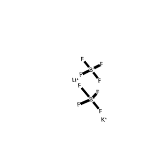 F[B-](F)(F)F.F[B-](F)(F)F.[K+].[Li+]